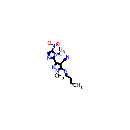 C/C=C/C=N/c1c(C#N)c(-c2ncc([N+](=O)[O-])n2C)nn1C